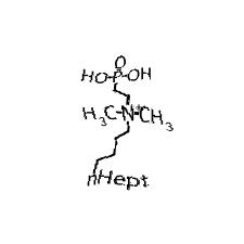 CCCCCCCCCCC[N+](C)(C)CCP(=O)(O)O